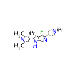 Cc1cc(-c2[nH]c3cnc(C4CCN(C(C)C)CC4)c(F)c3c2C(C)C)cc(C)n1